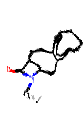 CN1C(=O)C2CC3C4CCC(C4)C3CC21